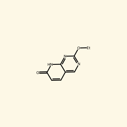 CCOc1ncc2ccc(=O)[nH]c2n1